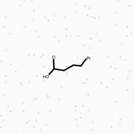 CC(C)CCCC(O)Cl